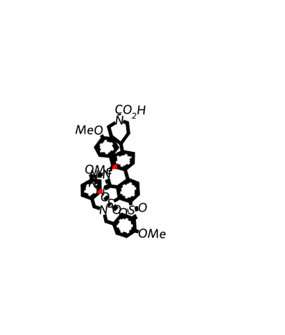 COc1ccc(CN(Cc2ccc(OC)cc2)S(=O)(=O)c2c(S(C)(=O)=O)ccc(-c3ccc(C4CCN(C(=O)O)CC4)cc3)c2-c2nnnn2Cc2ccc(OC)cc2)cc1